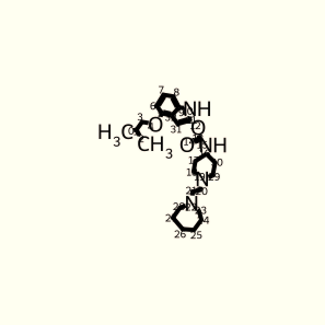 CC(C)COc1cccc2[nH]c(OC(=O)NC3CCN(CCN4CCCCCC4)CC3)cc12